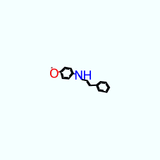 COc1ccc(NC/C=C/c2ccccc2)cc1